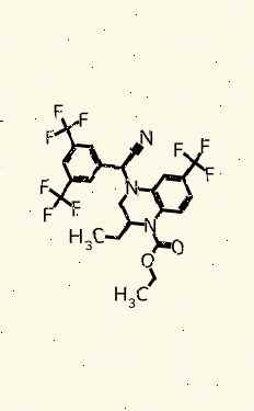 CCOC(=O)N1c2ccc(C(F)(F)F)cc2N(C(C#N)c2cc(C(F)(F)F)cc(C(F)(F)F)c2)CC1CC